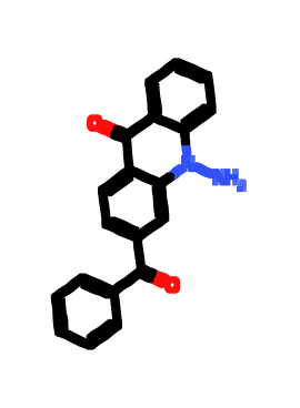 Nn1c2ccccc2c(=O)c2ccc(C(=O)c3ccccc3)cc21